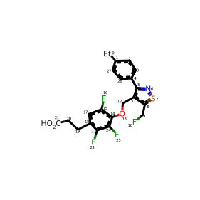 CCc1ccc(-c2nsc(CF)c2COc2c(F)cc(CCC(=O)O)c(F)c2F)cc1